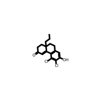 CCCC12CCC(=O)C=C1c1c(cc(O)c(Cl)c1Cl)CC2